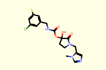 Cn1cncc1CN1CCC(O)(OC(=O)NCc2cc(F)cc(Cl)c2)C1=O